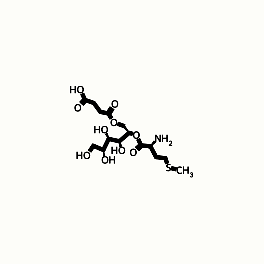 CSCC[C@H](N)C(=O)O[C@H](COC(=O)CCC(=O)O)[C@@H](O)[C@H](O)[C@H](O)CO